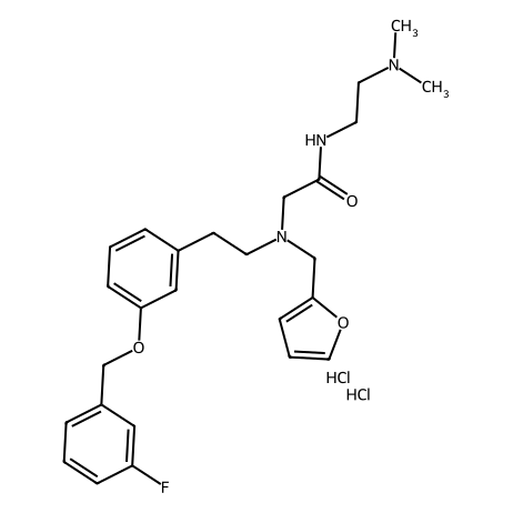 CN(C)CCNC(=O)CN(CCc1cccc(OCc2cccc(F)c2)c1)Cc1ccco1.Cl.Cl